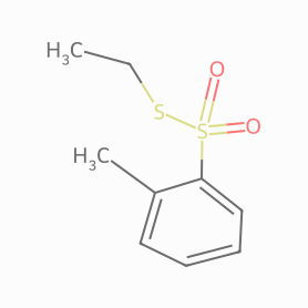 CCSS(=O)(=O)c1ccccc1C